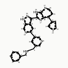 c1ccc(CNCc2cncc(-c3cc4c(-c5nc6c(-c7ccsc7)ccnc6[nH]5)n[nH]c4cn3)c2)cc1